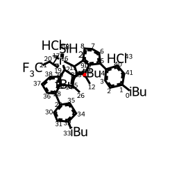 CCC(C)c1ccc(-c2cccc3c2C(C)=C(C(C)(C)C)[CH]3[Zr]([CH3])(=[SiH2])([CH2]CC(F)(F)F)[CH]2C(C(C)(C)C)=C(C)c3c(-c4ccc(C(C)CC)cc4)cccc32)cc1.Cl.Cl